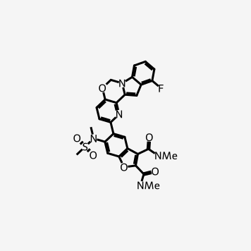 CNC(=O)c1oc2cc(N(C)S(C)(=O)=O)c(-c3ccc4c(n3)-c3cc5c(F)cccc5n3CO4)cc2c1C(=O)NC